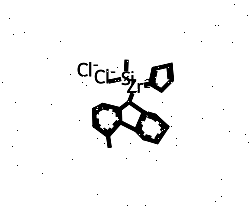 Cc1cccc2c1-c1ccccc1[CH]2[Zr+2]([C]1=CC=CC1)=[Si](C)C.[Cl-].[Cl-]